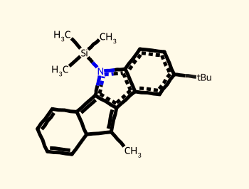 CC1=c2c(n([Si](C)(C)C)c3ccc(C(C)(C)C)cc23)=C2C=CC=CC12